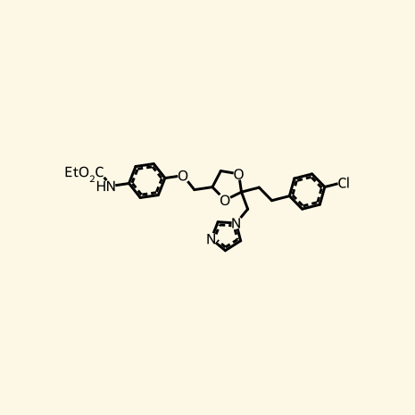 CCOC(=O)Nc1ccc(OCC2COC(CCc3ccc(Cl)cc3)(Cn3ccnc3)O2)cc1